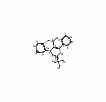 CC(C)C1=C(c2ccccc2)CN(C(C)(C)C)CC1c1ccccc1